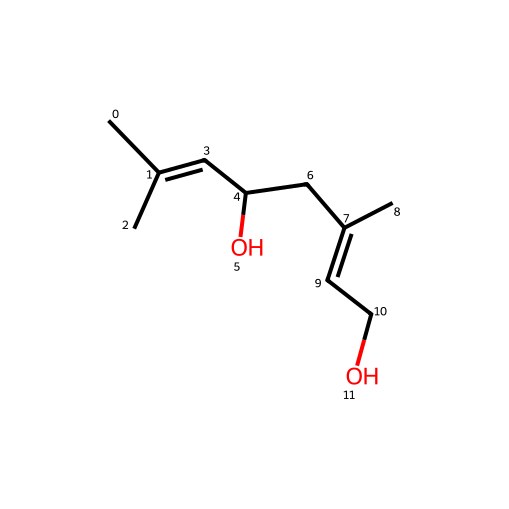 CC(C)=CC(O)CC(C)=CCO